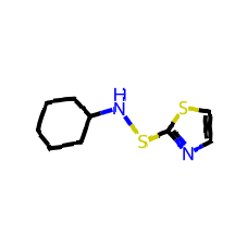 c1csc(SNC2CCCCC2)n1